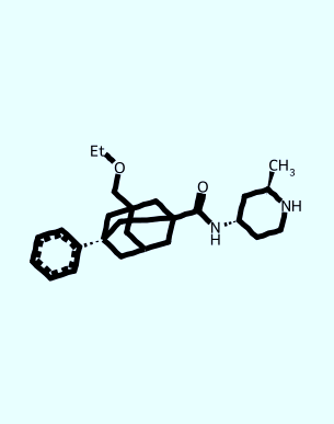 CCOCC12CC3CC(C(=O)N[C@H]4CCN[C@H](C)C4)(C1)C[C@@](c1ccccc1)(C3)C2